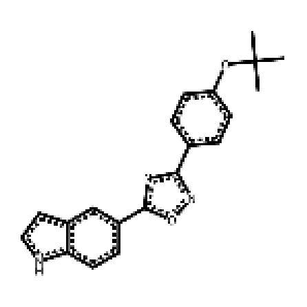 CC(C)(C)Oc1ccc(-c2noc(-c3ccc4[nH]ccc4c3)n2)cc1